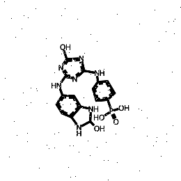 O=P(O)(O)c1ccc(Nc2nc(O)nc(Nc3ccc4c(c3)NC(O)N4)n2)cc1